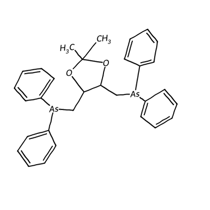 CC1(C)OC(C[As](c2ccccc2)c2ccccc2)C(C[As](c2ccccc2)c2ccccc2)O1